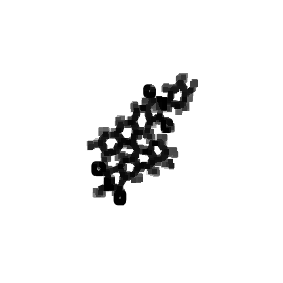 Cc1ccc(N2C(=O)c3cc4cc5ccccc5c(-c5c6ccccc6cc6cc7c(cc56)C(=O)N(C)C7=O)c4cc3C2=O)cc1